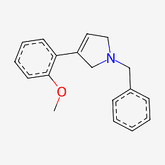 COc1ccccc1C1=CCN(Cc2ccccc2)C1